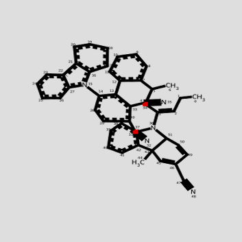 CC/C=C(\CC(C)c1ccccc1-c1c(-n2c3ccccc3c3ccccc32)ccc(C#N)c1C#N)N1c2ccccc2C2(C)C=C(C#N)C=CC12